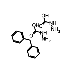 NNC(=O)O.NNC(=O)O.c1ccc(Cc2ccccc2)cc1